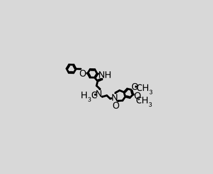 COc1cc2c(cc1OC)CC(=O)N(CCCN(C)CCc1c[nH]c3ccc(OCc4ccccc4)cc13)CC2